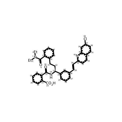 CCN(CC)C(=O)c1ccccc1CC[C@H](NC(=O)c1ccccc1C(=O)O)c1cccc(/C=C/c2ccc3ccc(Cl)cc3n2)c1